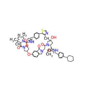 CC(=O)N(C)[C@H](C(=O)N1C[C@H](Oc2ccc3c(c2)C(=O)N([C@H](C(=O)N2C[C@H](O)C[C@H]2C(=O)NCc2ccc(C4CCCCC4)cc2)C(C)C)C3)C[C@H]1C(=O)NCc1ccc(-c2scnc2C)cc1)C(C)(C)C